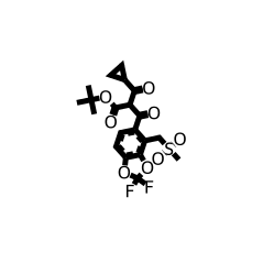 CC(C)(C)OC(=O)C(C(=O)c1ccc2c(c1CS(C)(=O)=O)OC(F)(F)O2)C(=O)C1CC1